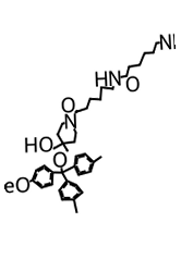 COc1ccc(C(OCC2(CO)CCN(C(=O)CCCCCNC(=O)CCCCCN)CC2)(c2ccc(C)cc2)c2ccc(C)cc2)cc1